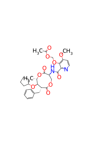 COc1ccnc(C(=O)N[C@H]2COC(=O)[C@H](Cc3ccccc3)[C@@H](OC3CCCC3)[C@H](C)OC2=O)c1OCOC(C)=O